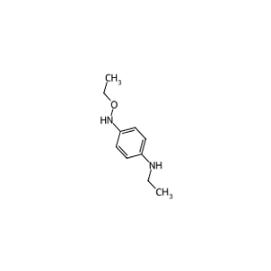 CCNc1ccc(NOCC)cc1